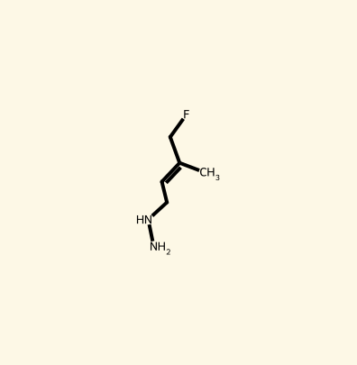 C/C(=C\CNN)CF